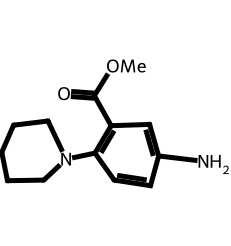 COC(=O)c1cc(N)ccc1N1CCCCC1